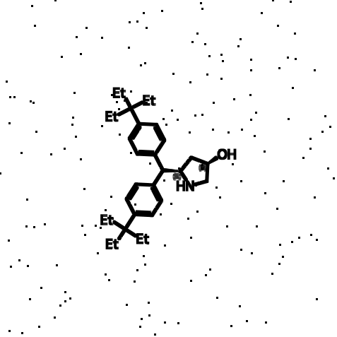 CCC(CC)(CC)c1ccc(C(c2ccc(C(CC)(CC)CC)cc2)[C@H]2C[C@@H](O)CN2)cc1